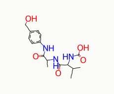 CC(NC(=O)C(NC(=O)O)C(C)C)C(=O)Nc1ccc(CO)cc1